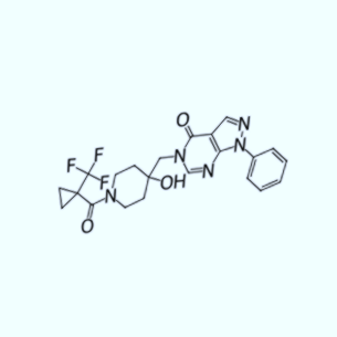 O=C(N1CCC(O)(Cn2cnc3c(cnn3-c3ccccc3)c2=O)CC1)C1(C(F)(F)F)CC1